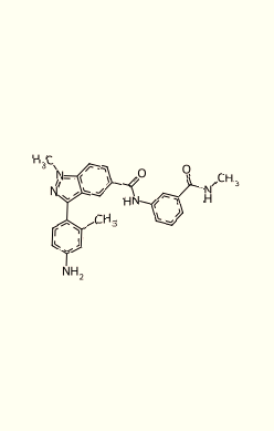 CNC(=O)c1cccc(NC(=O)c2ccc3c(c2)c(-c2ccc(N)cc2C)nn3C)c1